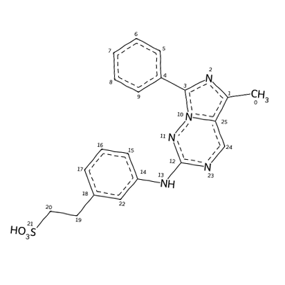 Cc1nc(-c2ccccc2)n2nc(Nc3cccc(CCS(=O)(=O)O)c3)ncc12